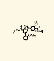 COc1ccccc1-c1cc(NCCC(F)(F)F)c2ncc(-c3ccc(C(=O)NC4CC4)c(C)c3)n2c1